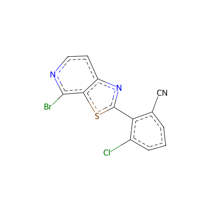 N#Cc1cccc(Cl)c1-c1nc2ccnc(Br)c2s1